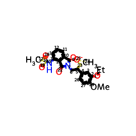 CCOc1cc(C(CN2C(=O)c3cccc(NS(C)(=O)=O)c3C2=O)[S+](C)[O-])ccc1OC